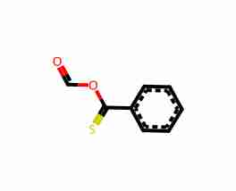 O=COC(=S)c1ccccc1